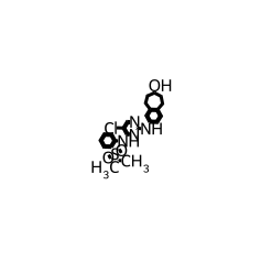 CC(C)S(=O)(=O)c1ccccc1Nc1nc(Nc2ccc3c(c2)CCC(O)CC3)ncc1Cl